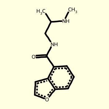 CNC(C)CNC(=O)c1cccc2occc12